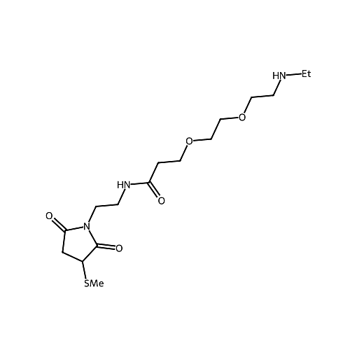 CCNCCOCCOCCC(=O)NCCN1C(=O)CC(SC)C1=O